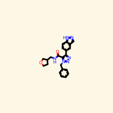 O=C(NCC1CCOC1)c1c(-c2ccc3[nH]ncc3c2)nnn1Cc1ccccc1